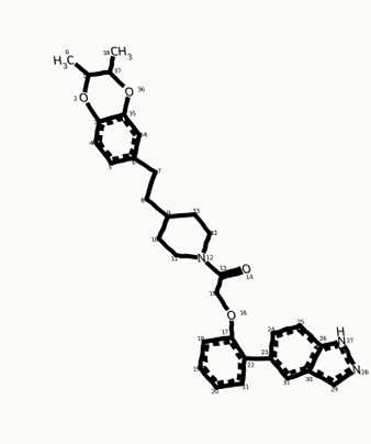 CC1Oc2ccc(CCC3CCN(C(=O)COc4ccccc4-c4ccc5[nH]ncc5c4)CC3)cc2OC1C